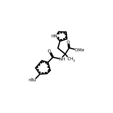 CCCCc1ccc(C(=O)NC(C)(Cc2ccc[nH]2)C(=O)OC)cc1